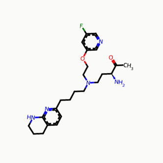 CC(=O)[C@@H](N)CCN(CCCCc1ccc2c(n1)NCCC2)CCOc1cncc(F)c1